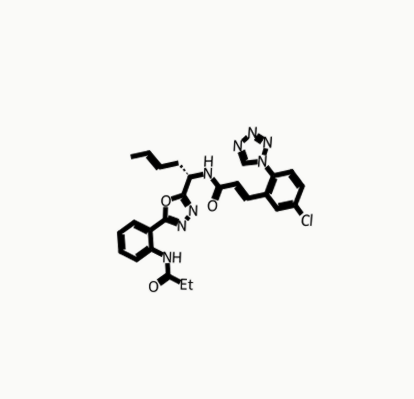 C/C=C/C[C@H](NC(=O)/C=C/c1cc(Cl)ccc1-n1cnnn1)c1nnc(-c2ccccc2NC(=O)CC)o1